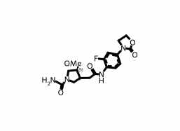 CO[C@@H]1CN(C(N)=O)C[C]1CC(=O)Nc1ccc(N2CCOC2=O)cc1F